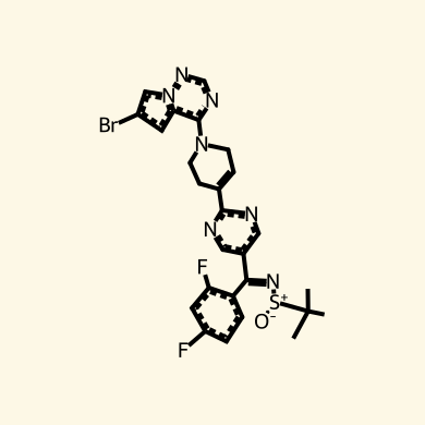 CC(C)(C)[S@+]([O-])N=C(c1cnc(C2=CCN(c3ncnn4cc(Br)cc34)CC2)nc1)c1ccc(F)cc1F